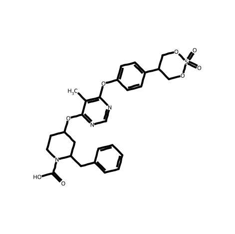 Cc1c(Oc2ccc(C3COS(=O)(=O)OC3)cc2)ncnc1OC1CCN(C(=O)O)C(Cc2ccccc2)C1